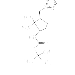 CC(C)(C)OC(=O)N[C@@H]1CC[C@H](Cn2nccn2)C1(C)C